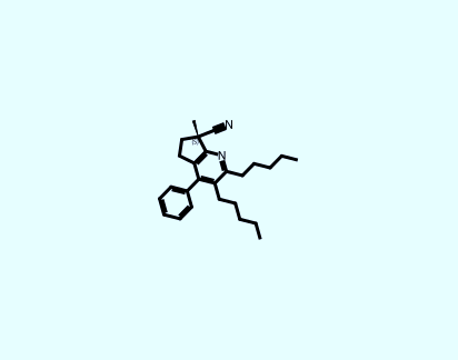 CCCCCc1nc2c(c(-c3ccccc3)c1CCCCC)CC[C@]2(C)C#N